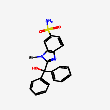 CCn1c(C(O)(c2ccccc2)c2ccccc2)nc2ccc(S(N)(=O)=O)cc21